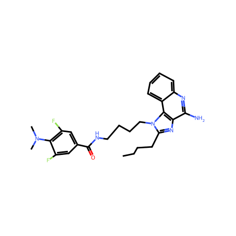 CCCCc1nc2c(N)nc3ccccc3c2n1CCCCNC(=O)c1cc(F)c(N(C)C)c(F)c1